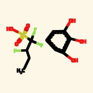 CCC(F)C(F)(F)S(=O)(=O)O.Oc1cccc(O)c1O